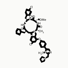 COC[C@@H]1NC(=O)[C@H](C)N(Cc2ccc(Cl)cc2Oc2ccc(-c3cnc(CN4CCCC4)n3C)cc2)C(=O)C[C@@H](Cc2ccccc2)C(=O)NC[C@@H](Cc2ccc(Cl)cc2)N(C)C1=O